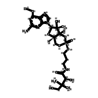 CCOc1nc(N)nc2c1ncn2[C@@H]1O[C@@H]2CO[P@](=O)(OCCCNC(=O)[C@@H](O)C(C)(C)CO)O[C@H]2[C@@]1(C)O